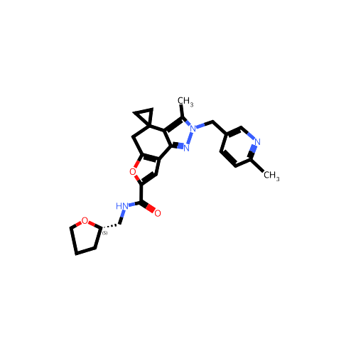 Cc1ccc(Cn2nc3c(c2C)C2(CC2)Cc2oc(C(=O)NC[C@@H]4CCCO4)cc2-3)cn1